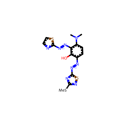 CSc1nsc(/N=N/c2ccc(N(C)C)c(/N=N/c3nccs3)c2O)n1